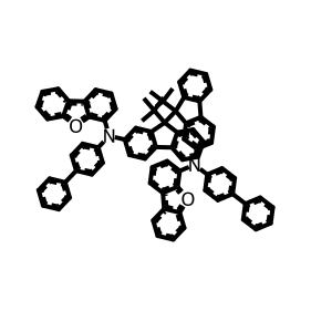 CC(C)(C)C1(C2(C(C)(C)C)c3ccccc3-c3ccc(N(c4ccc(-c5ccccc5)cc4)c4cccc5c4oc4ccccc45)cc32)c2ccccc2-c2ccc(N(c3ccc(-c4ccccc4)cc3)c3cccc4c3oc3ccccc34)cc21